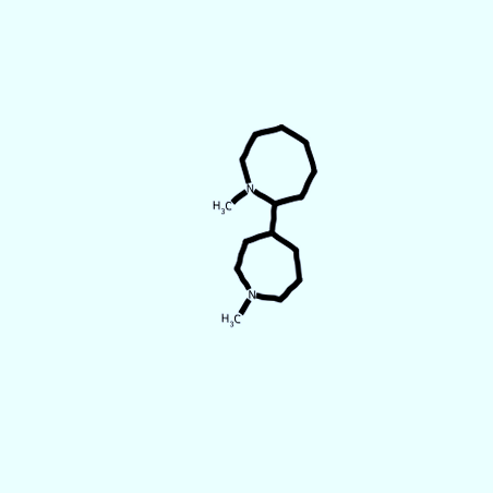 CN1CCCC(C2CCCCCCN2C)CC1